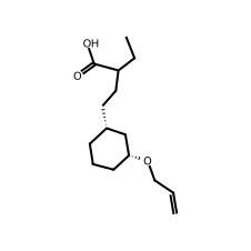 C=CCO[C@@H]1CCC[C@H](CCC(CC)C(=O)O)C1